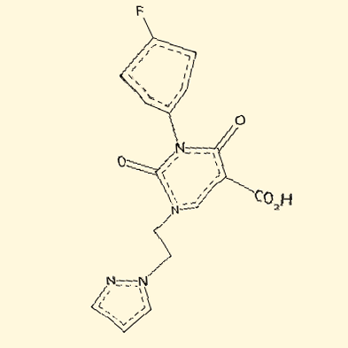 O=C(O)c1cn(CCn2cccn2)c(=O)n(-c2ccc(F)cc2)c1=O